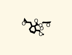 COC(=O)C1C=CCC(CC2CO2)C1C(=O)OCC1CO1